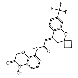 CN1C(=O)COc2c(NC(=O)/C=C3\CC4(CCC4)Oc4cc(C(F)(F)F)ccc43)cccc21